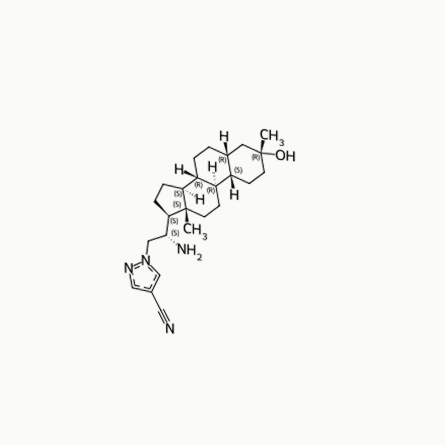 C[C@@]1(O)CC[C@H]2[C@H](CC[C@@H]3[C@@H]2CC[C@]2(C)[C@@H]([C@H](N)Cn4cc(C#N)cn4)CC[C@@H]32)C1